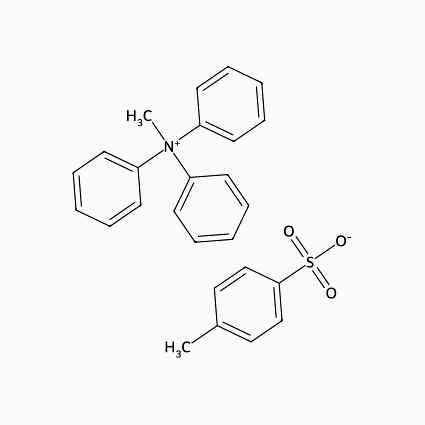 C[N+](c1ccccc1)(c1ccccc1)c1ccccc1.Cc1ccc(S(=O)(=O)[O-])cc1